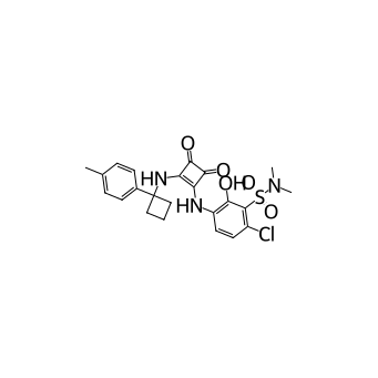 Cc1ccc(C2(Nc3c(Nc4ccc(Cl)c(S(=O)(=O)N(C)C)c4O)c(=O)c3=O)CCC2)cc1